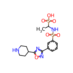 CC(NS(=O)(=O)c1cccc(-c2noc(C3CCNCC3)n2)c1)S(=O)(=O)O